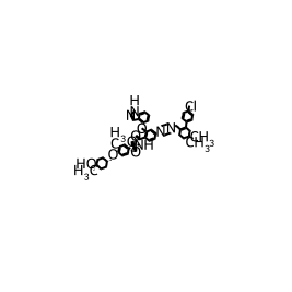 Cc1cc(S(=O)(=O)NC(=O)c2ccc(N3CCN(CC4=C(c5ccc(Cl)cc5)CC(C)(C)CC4)CC3)cc2Oc2cccc3[nH]ncc23)ccc1OC[C@H]1CC[C@](C)(O)CC1